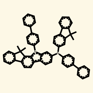 CC1(C)c2ccccc2-c2ccc(N(c3ccc(-c4ccccc4)cc3)c3ccc4c5ccc6c(c5n(-c5ccc(-c7ccccc7)cc5)c4c3)C(C)(C)c3ccccc3-6)cc21